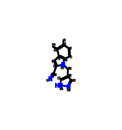 Cc1ccc2c(cc(C#N)n2Cc2cn[nH]c2)c1C